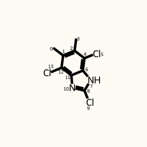 Cc1c(C)c(Cl)c2[nH]c(Cl)nc2c1Cl